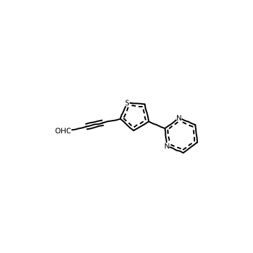 O=CC#Cc1cc(-c2ncccn2)cs1